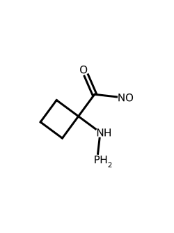 O=NC(=O)C1(NP)CCC1